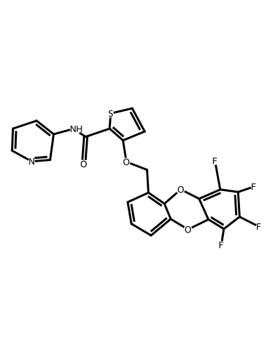 O=C(Nc1cccnc1)c1sccc1OCc1cccc2c1Oc1c(F)c(F)c(F)c(F)c1O2